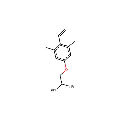 C=Cc1c(C)cc(OCC(CCC)CCC)cc1C